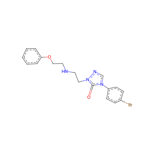 O=c1n(-c2ccc(Br)cc2)cnn1CCNCCOc1ccccc1